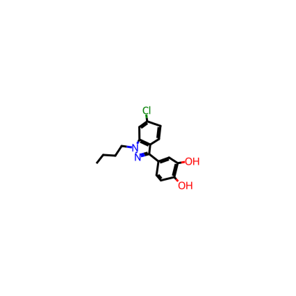 CCCCn1nc(-c2ccc(O)c(O)c2)c2ccc(Cl)cc21